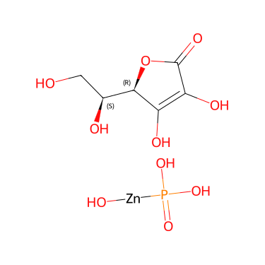 O=C1O[C@H]([C@@H](O)CO)C(O)=C1O.O=[P](O)(O)[Zn][OH]